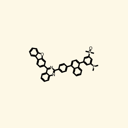 CP(C)c1cc(-c2ccc(-c3ccc(-c4nc(-c5ccc6c(c5)oc5ccccc56)c5ccccc5n4)cc3)c3ccccc23)cc(P(C)(C)=O)c1